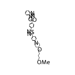 COCCCCCOC1CCN(c2ccc(-c3nnc(-c4ccc(C(=O)On5nnc6ccccc65)cc4)s3)cc2)CC1